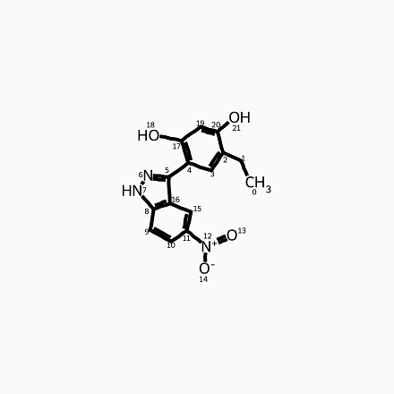 CCc1cc(-c2n[nH]c3ccc([N+](=O)[O-])cc23)c(O)cc1O